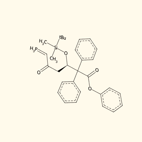 CC(C)(C)[Si](C)(C)O[C@H](CC(=O)C=[PH3])C(C(=O)Oc1ccccc1)(c1ccccc1)c1ccccc1